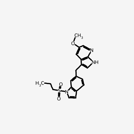 CCCS(=O)(=O)n1ccc2ccc(Cc3c[nH]c4ncc(OC)cc34)cc21